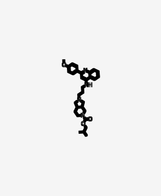 COc1ccc(-c2cc(NCCCN3CC4CCN(C(=O)OCC(C)C)CC4C3)c3ccccc3n2)cc1